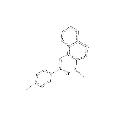 CSc1ccc2ccccc2c1C=[N+]([O-])c1ccc(C)cc1